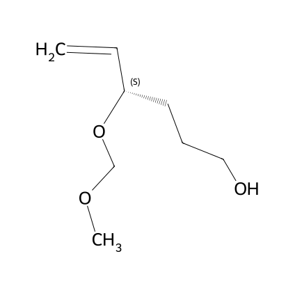 C=C[C@H](CCCO)OCOC